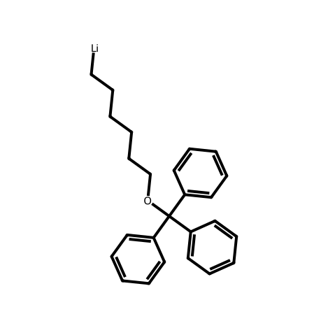 [Li][CH2]CCCCCOC(c1ccccc1)(c1ccccc1)c1ccccc1